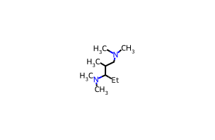 CCC(C(C)CN(C)C)N(C)C